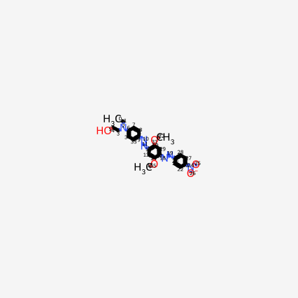 CCN(CCO)c1ccc(/N=N/c2cc(OC)c(/N=N/c3ccc([N+](=O)[O-])cc3)cc2OC)cc1